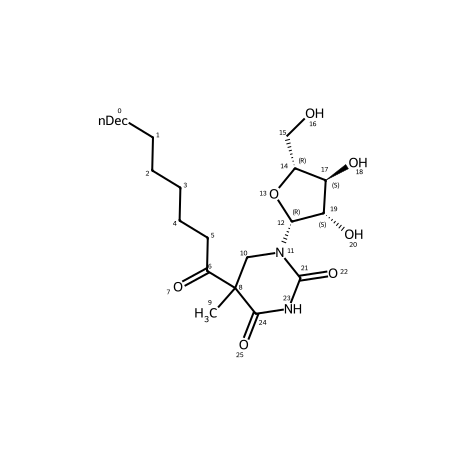 CCCCCCCCCCCCCCCC(=O)C1(C)CN([C@@H]2O[C@H](CO)[C@@H](O)[C@@H]2O)C(=O)NC1=O